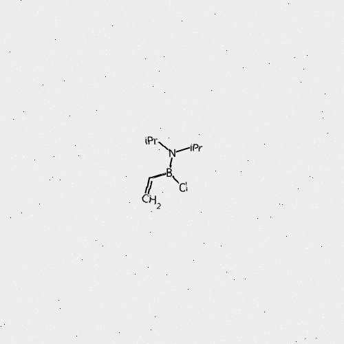 C=CB(Cl)N(C(C)C)C(C)C